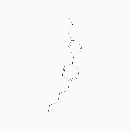 CC(C)CCCCc1ccc(-n2cc(CCO)nn2)cc1